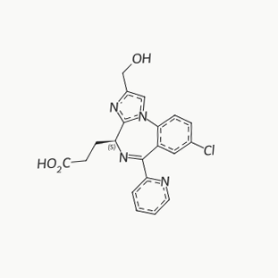 O=C(O)CC[C@@H]1N=C(c2ccccn2)c2cc(Cl)ccc2-n2cc(CO)nc21